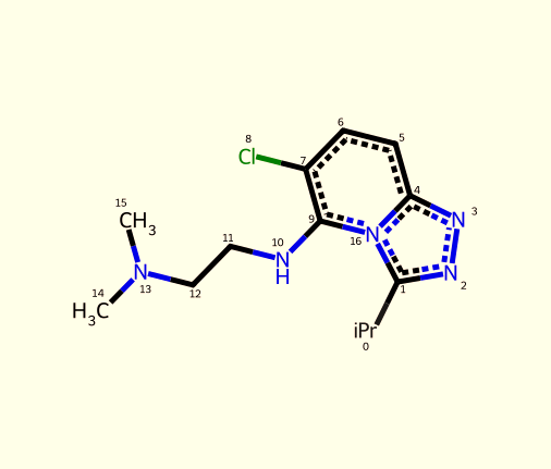 CC(C)c1nnc2ccc(Cl)c(NCCN(C)C)n12